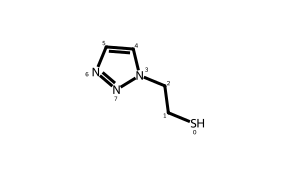 SCCn1ccnn1